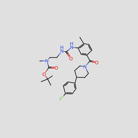 Cc1ccc(C(=O)N2CCC(c3ccc(F)cc3)CC2)cc1NC(=O)NCCN(C)C(=O)OC(C)(C)C